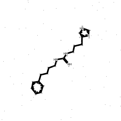 N=C(NCCCCc1ccccc1)NCCCc1c[nH]cn1